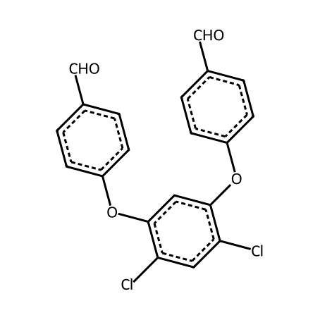 O=Cc1ccc(Oc2cc(Oc3ccc(C=O)cc3)c(Cl)cc2Cl)cc1